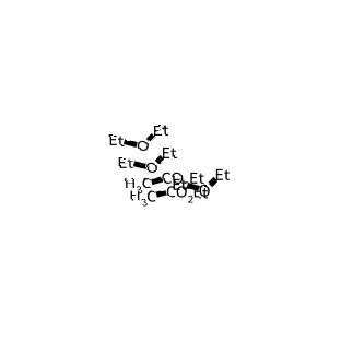 CCOC(C)=O.CCOC(C)=O.CCOCC.CCOCC.CCOCC